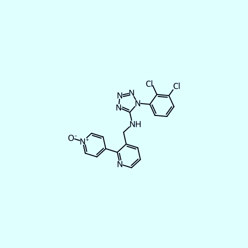 [O-][n+]1ccc(-c2ncccc2CNc2nnnn2-c2cccc(Cl)c2Cl)cc1